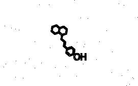 Oc1ccc(C=CCC2CCCC3CCCCC23)cc1